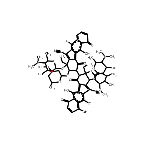 CCC1(OC2CC(O)C(N(C)C)C(C)O2)C2=C([N+]#N)c3c([O-])c4c(c(O)c3=C2C(=O)C(C2C(=O)C3=c5c(O)c6c(c([O-])c5C([N+]#N)=C3C(OC3CC(O)C(N(C)C)C(C)O3)C2(CC)OC2CC(OC)C(O)C(C)O2)=C(O)C=CC6=O)C1OC1CC(OC)CC(C)O1)C(=O)C=CC=4